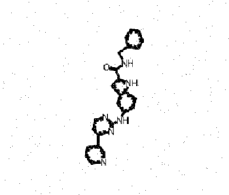 O=C(NCc1ccccc1)c1cc2cc(Nc3nccc(-c4cccnc4)n3)ccc2[nH]1